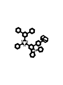 c1ccc(-c2cc(-c3ccccc3)cc(-c3nc(-c4ccccc4)nc(-c4cc(-c5ccc(C67CC8CC(CC(C8)C6)C7)cc5)c5c(c4)c4ccccc4n5-c4ccccc4)n3)c2)cc1